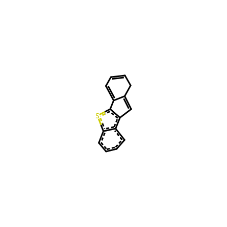 C1=CCC2=Cc3c(sc4ccccc34)C2=C1